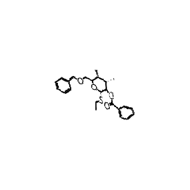 CCS[C@@H]1OC(COCc2ccccc2)[C@@H](C)[C@H](C)C1OC(=O)c1ccccc1